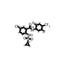 O=C(Nc1cc(F)c(C(F)(F)F)cc1F)c1cc(Cl)ccc1NS(=O)(=O)C1CC1